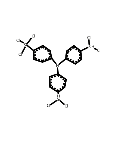 Cl[SiH](Cl)c1ccc(N(c2ccc([SiH](Cl)Cl)cc2)c2ccc([Si](Cl)(Cl)Cl)cc2)cc1